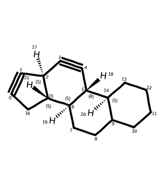 C1#C[C@H]2C#C[C@H]3[C@@H](CCC4CCCC[C@@H]43)[C@@H]2C1